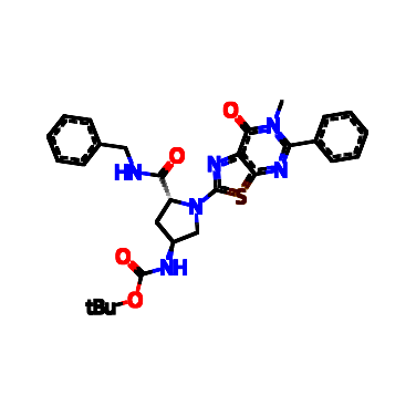 Cn1c(-c2ccccc2)nc2sc(N3C[C@@H](NC(=O)OC(C)(C)C)C[C@@H]3C(=O)NCc3ccccc3)nc2c1=O